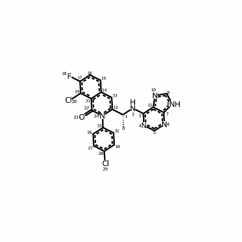 C[C@@H](Nc1ncnc2[nH]cnc12)c1cc2ccc(F)c(Cl)c2c(=O)n1-c1ccc(Cl)cc1